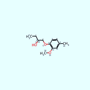 CC[C@H](O)COc1ccc(C)cc1OC